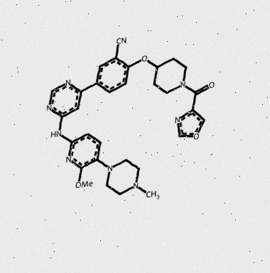 COc1nc(Nc2cc(-c3ccc(OC4CCN(C(=O)c5cocn5)CC4)c(C#N)c3)ncn2)ccc1N1CCN(C)CC1